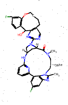 CO[C@H]1CN(C)C(=O)[C@@H]2C[C@@H](CN2c2ncc3c(n2)C(O)c2ccc(F)cc2OCCCC3)Nc2cccc(n2)-c2cc(F)cc3nc(C)n(c23)C1